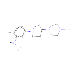 CN1CCN(C2CCN(c3ccc([N+](=O)[O-])c(N(C)C)c3)CC2)CC1